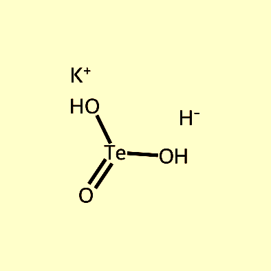 O=[Te](O)O.[H-].[K+]